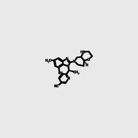 Bc1cc(C)cc2nc(N3CC[C@@H]4OCCNC4C3)n([C@@H](C)c3ccc(C#N)cn3)c12